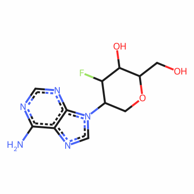 Nc1ncnc2c1ncn2C1COC(CO)C(O)C1F